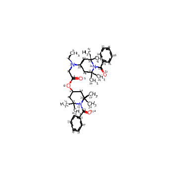 CCN(CC(=O)OC1CC(C)(C)N(C(=O)c2ccccc2)C(C)(C)C1)C1CC(C)(C)N(C(=O)c2ccccc2)C(C)(C)C1